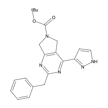 CC(C)(C)OC(=O)N1Cc2nc(Cc3ccccc3)nc(-c3cc[nH]n3)c2C1